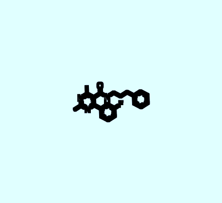 Cc1nc(C)c(C(=O)NCCCc2ccccc2)c(-c2cccc(F)c2)n1